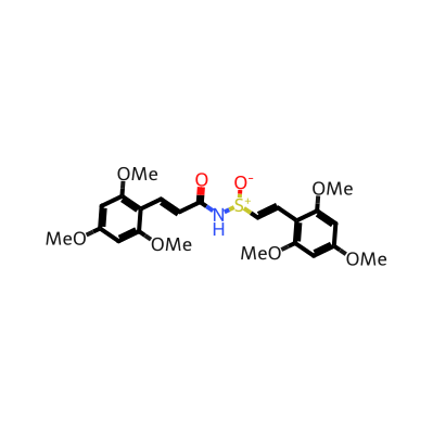 COc1cc(OC)c(/C=C/C(=O)N[S+]([O-])/C=C/c2c(OC)cc(OC)cc2OC)c(OC)c1